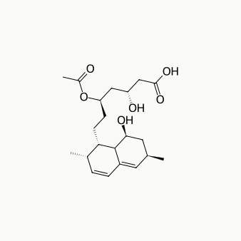 CC(=O)O[C@H](CC[C@@H]1C2C(=C[C@H](C)C[C@@H]2O)C=C[C@@H]1C)C[C@@H](O)CC(=O)O